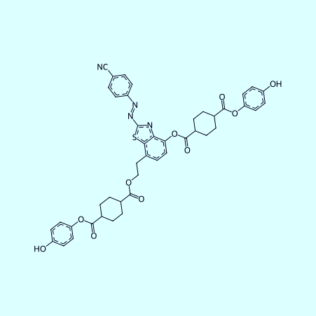 N#Cc1ccc(/N=N/c2nc3c(OC(=O)C4CCC(C(=O)Oc5ccc(O)cc5)CC4)ccc(CCOC(=O)C4CCC(C(=O)Oc5ccc(O)cc5)CC4)c3s2)cc1